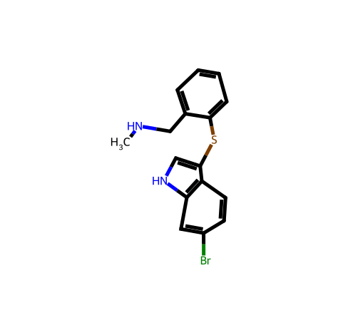 CNCc1ccccc1Sc1c[nH]c2cc(Br)ccc12